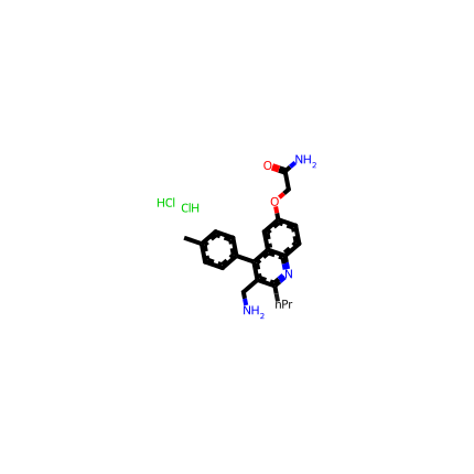 CCCc1nc2ccc(OCC(N)=O)cc2c(-c2ccc(C)cc2)c1CN.Cl.Cl